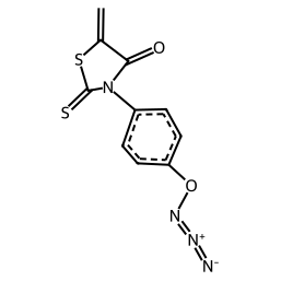 C=C1SC(=S)N(c2ccc(ON=[N+]=[N-])cc2)C1=O